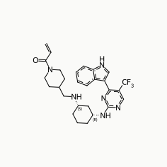 C=CC(=O)N1CCC(CN[C@H]2CCC[C@@H](Nc3ncc(C(F)(F)F)c(-c4c[nH]c5ccccc45)n3)C2)CC1